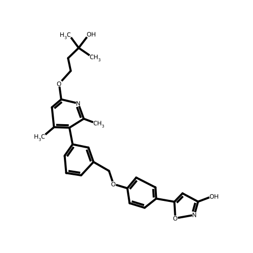 Cc1cc(OCCC(C)(C)O)nc(C)c1-c1cccc(COc2ccc(-c3cc(O)no3)cc2)c1